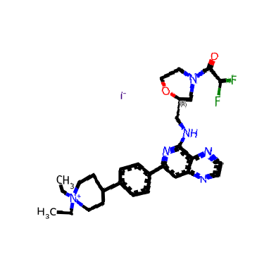 CC[N+]1(CC)CCC(c2ccc(-c3cc4nccnc4c(NC[C@@H]4CN(C(=O)C(F)F)CCO4)n3)cc2)CC1.[I-]